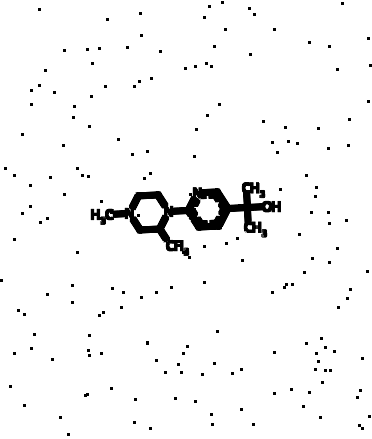 CC1CN(C)CCN1c1ccc(C(C)(C)O)cn1